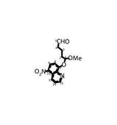 COC(CCCC=O)Oc1ccc([N+](=O)[O-])c2cccnc12